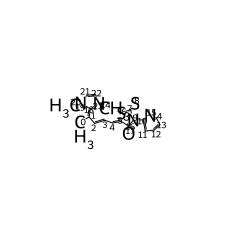 CC(C=CC=C1SC(=S)N(c2ccccn2)C1=O)=C1N(C)C=CN1C